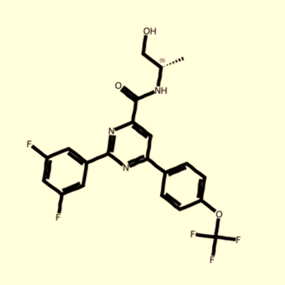 C[C@@H](CO)NC(=O)c1cc(-c2ccc(OC(F)(F)F)cc2)nc(-c2cc(F)cc(F)c2)n1